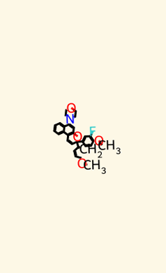 C=C(/C=C\COC)C1(c2ccc(OC)c(F)c2)C=Cc2c(cc(N3CCOCC3)c3ccccc23)O1